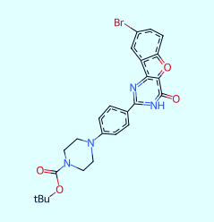 CC(C)(C)OC(=O)N1CCN(c2ccc(-c3nc4c(oc5ccc(Br)cc54)c(=O)[nH]3)cc2)CC1